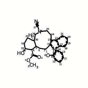 COC(=O)[C@@H]1C2C[C@@H](Oc3ccccc3)c3[nH]c4ccccc4c3CCN(C#N)C[C@@H]2CC[C@@H]1O